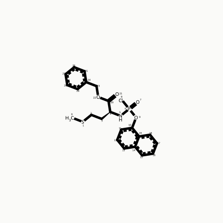 CSCC[C@H](NP(=O)(Cl)Oc1cccc2ccccc12)C(=O)OCc1ccccc1